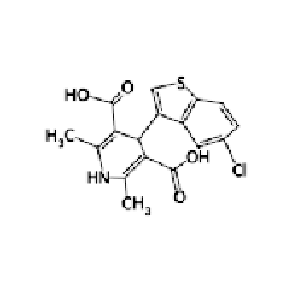 CC1=C(C(=O)O)C(c2csc3ccc(Cl)cc23)C(C(=O)O)=C(C)N1